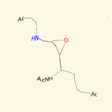 CC(=O)CCC(NC(C)=O)C1OC1NCC(C)=O